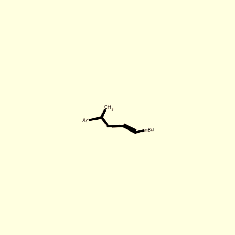 CCCC/C=C/CC(C)C(C)=O